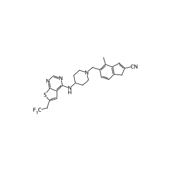 Cc1c(CN2CCC(Nc3ncnc4sc(CC(F)(F)F)cc34)CC2)ccc2c1C=C(C#N)C2